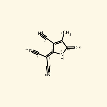 CC1=C(C#N)C(=C(C#N)C#N)NC1=O